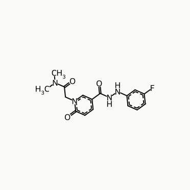 CN(C)C(=O)Cn1cc(C(=O)NNc2cccc(F)c2)ccc1=O